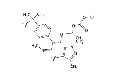 C/N=C\C(=C(\OC(C)OC(=O)OC)c1c(C)c(C)nn1C)c1ccc(C(C)(C)C)cc1